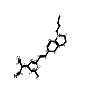 CCCCN1CCCC2=C1C=CC(/C=C/C1=CC(=C(C#N)C#N)C=C(C)O1)C2